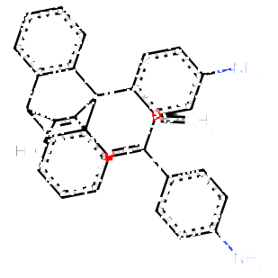 C=C/C(=C\C1=C(C)C2c3ccccc3C1(c1ccc(N)cc1)c1ccccc12)c1ccc(N)cc1